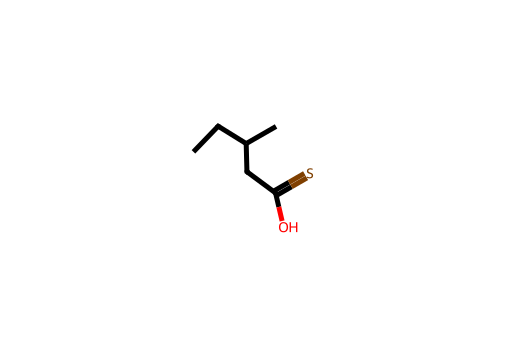 CCC(C)CC(O)=S